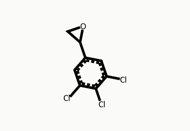 Clc1cc(C2CO2)cc(Cl)c1Cl